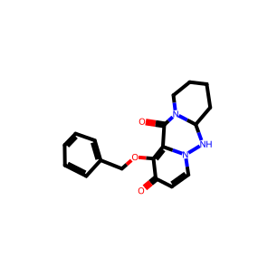 O=C1c2c(OCc3ccccc3)c(=O)ccn2NC2CCCCN12